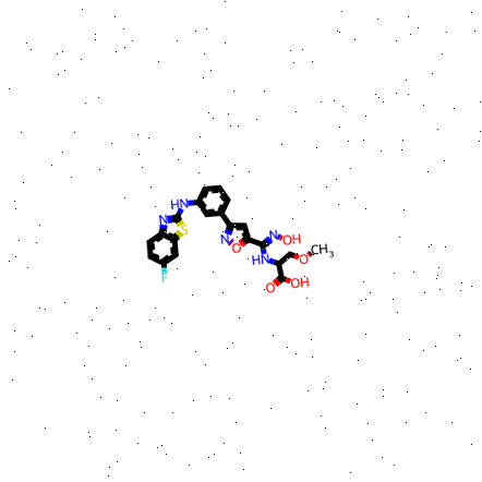 COCC(NC(=NO)c1cc(-c2cccc(Nc3nc4ccc(F)cc4s3)c2)no1)C(=O)O